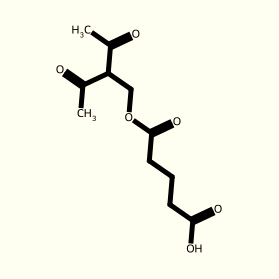 CC(=O)C(COC(=O)CCCC(=O)O)C(C)=O